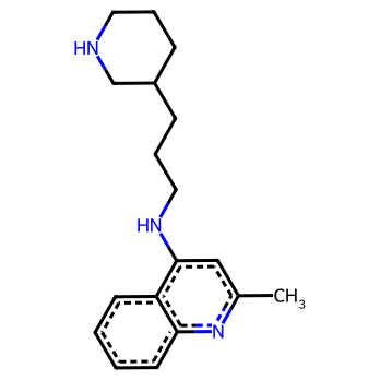 Cc1cc(NCCCC2CCCNC2)c2ccccc2n1